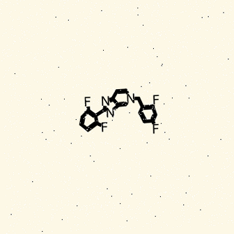 Fc1ccc(Cn2ccc3nc(-c4c(F)cccc4F)nc-3c2)c(F)c1